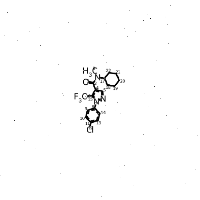 CN(C(=O)c1cnn(-c2ccc(Cl)cc2)c1C(F)(F)F)C1CCCCC1